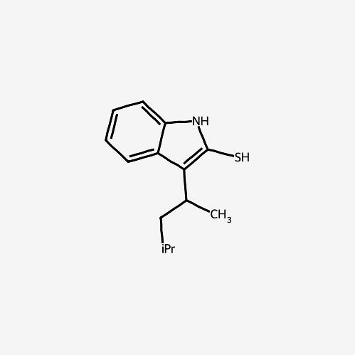 CC(C)CC(C)c1c(S)[nH]c2ccccc12